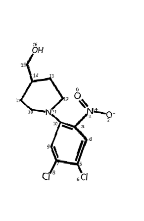 O=[N+]([O-])c1cc(Cl)c(Cl)cc1N1CCC(CO)CC1